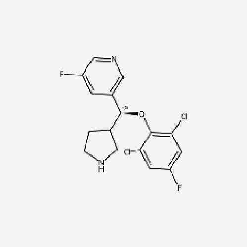 Fc1cncc([C@@H](Oc2c(Cl)cc(F)cc2Cl)C2CCNC2)c1